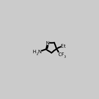 CCC1(C(F)(F)F)CN=C(N)C1